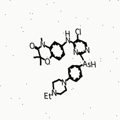 CCN1CCN(c2ccc([AsH]c3ncc(Cl)c(Nc4ccc5c(c4)N(C)C(=O)C(C)(C)O5)n3)cc2)CC1